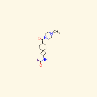 CN1CCN(C(=O)C2CCC3(CC2)CC(NC(=O)I)C3)CC1